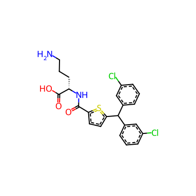 NCCC[C@H](NC(=O)c1ccc(C(c2cccc(Cl)c2)c2cccc(Cl)c2)s1)C(=O)O